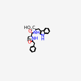 CC(C)C[C@H](NC(=O)Cc1ccccc1)C(=O)N[C@H](Cc1c[nH]c2ccccc12)C(=O)O